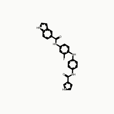 O=C(Nc1ccc(Nc2ccc(NC(=O)c3ccc4[nH]ccc4c3)cc2F)cc1)c1cc[nH]c1